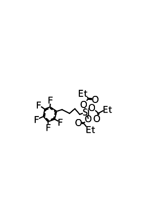 CCC(=O)O[Si](CCCCc1c(F)c(F)c(F)c(F)c1F)(OC(=O)CC)OC(=O)CC